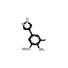 COc1cc(-c2cn[nH]c2)cc(F)c1C(C)(C)C